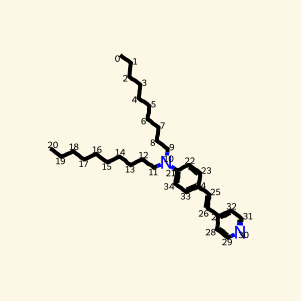 CCCCCCCCCCN(CCCCCCCCCC)c1ccc(C=Cc2ccncc2)cc1